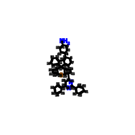 Nc1ccc(-c2cccc3c2-c2ccccc2C32c3ccccc3Sc3c(-c4cc(-c5ccccc5)nc(-c5ccccc5)n4)cccc32)cc1